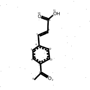 CC(=O)c1ccc(/C=C/C(=O)O)cc1